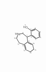 Oc1ccccc1C1CNCCC2=CCCC=C21